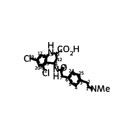 CNCCc1ccc(CC(=O)NC2CC(C(=O)O)Nc3cc(Cl)cc(Cl)c32)cc1